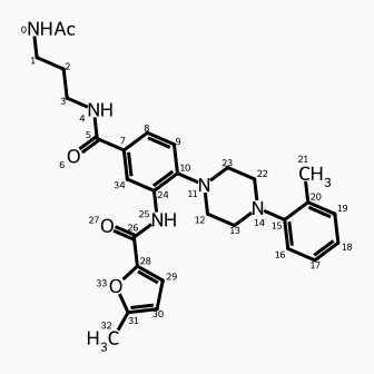 CC(=O)NCCCNC(=O)c1ccc(N2CCN(c3ccccc3C)CC2)c(NC(=O)c2ccc(C)o2)c1